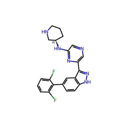 Fc1cccc(F)c1-c1ccc2[nH]nc(-c3cncc(N[C@@H]4CCCNC4)n3)c2c1